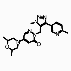 Cc1ccc(-c2nnn(C)c2Cn2ncc(N3CC(C)OC(C)C3)cc2=O)cn1